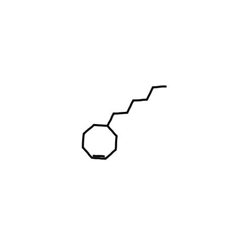 CCCCCCC1CCC=CCCC1